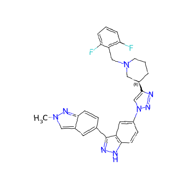 Cn1cc2cc(-c3n[nH]c4ccc(-n5cc([C@@H]6CCCN(Cc7c(F)cccc7F)C6)nn5)cc34)ccc2n1